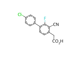 N#Cc1c(CC(=O)O)ccc(-c2ccc(Cl)cc2)c1F